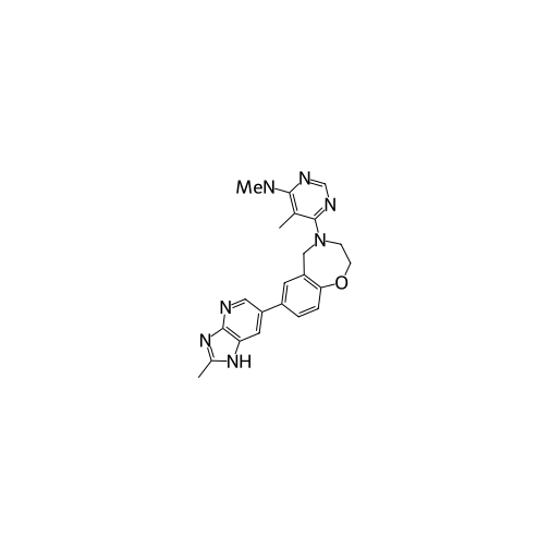 CNc1ncnc(N2CCOc3ccc(-c4cnc5nc(C)[nH]c5c4)cc3C2)c1C